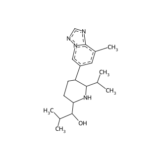 Cc1cc(C2CCC(C(O)C(C)C)NC2C(C)C)cn2ncnc12